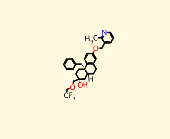 Cc1ncccc1COc1ccc2c(c1)CC[C@@H]1C[C@@](O)(COCC(F)(F)F)CC[C@@]21Cc1ccccc1